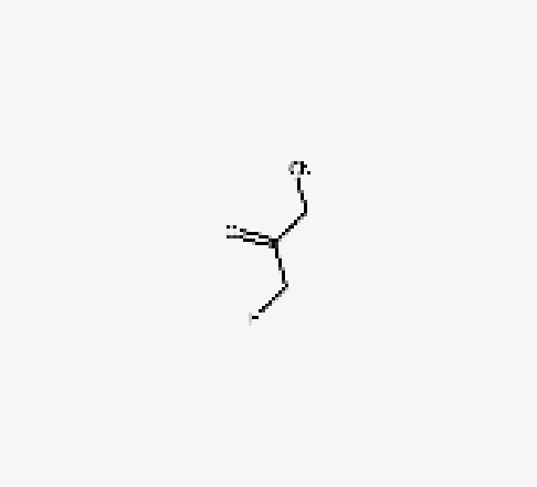 N#CCC(=O)CF